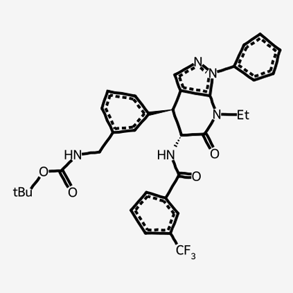 CCN1C(=O)[C@H](NC(=O)c2cccc(C(F)(F)F)c2)[C@@H](c2cccc(CNC(=O)OC(C)(C)C)c2)c2cnn(-c3ccccc3)c21